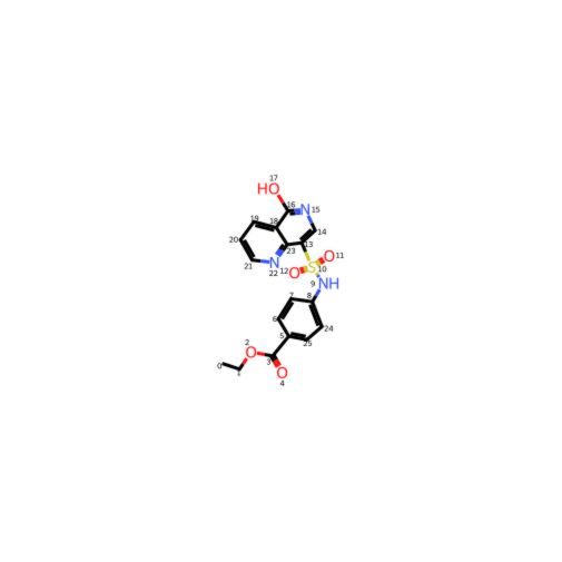 CCOC(=O)c1ccc(NS(=O)(=O)c2cnc(O)c3cccnc23)cc1